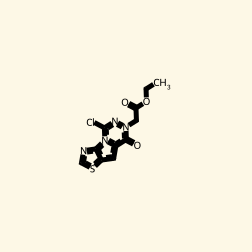 CCOC(=O)Cn1nc(Cl)n2c(cc3scnc32)c1=O